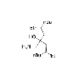 CCCCC(CC)CC(O)(CN)CC(CC)CCCC